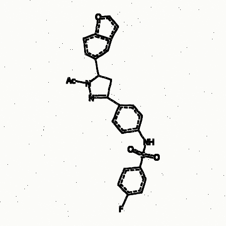 CC(=O)N1N=C(c2ccc(NS(=O)(=O)c3ccc(F)cc3)cc2)CC1c1ccc2occc2c1